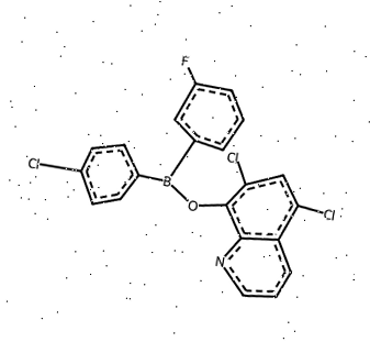 Fc1cccc(B(Oc2c(Cl)cc(Cl)c3cccnc23)c2ccc(Cl)cc2)c1